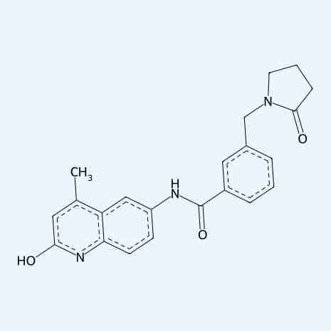 Cc1cc(O)nc2ccc(NC(=O)c3cccc(CN4CCCC4=O)c3)cc12